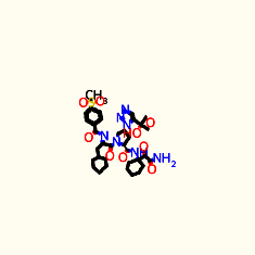 CS(=O)(=O)c1ccc(C(=O)/N=C(\CC2CCCCC2)C(=O)N2C[C@@H](n3nncc3C3(O)COC3)C[C@H]2C(=O)NC2(C(=O)C(N)=O)CCCCC2)cc1